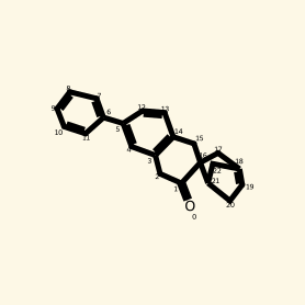 O=C1Cc2cc(-c3ccccc3)ccc2CC12CC1=CCC2C1